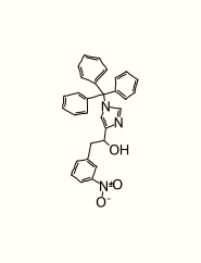 O=[N+]([O-])c1cccc(CC(O)c2cn(C(c3ccccc3)(c3ccccc3)c3ccccc3)cn2)c1